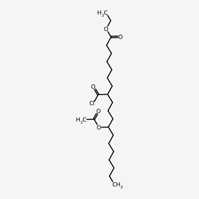 CCCCCCCC(CCCC(CCCCCCC(=O)OCC)C(=O)Cl)OC(C)=O